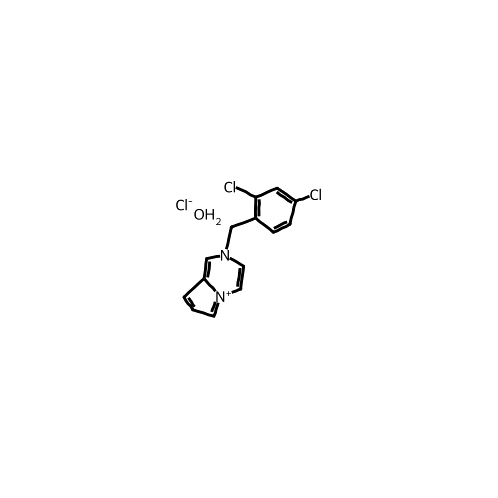 Clc1ccc(Cn2cc[n+]3cccc-3c2)c(Cl)c1.O.[Cl-]